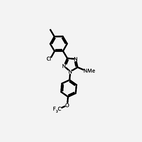 CNc1nc(-c2ccc(C)cc2Cl)nn1-c1ccc(OC(F)(F)F)cc1